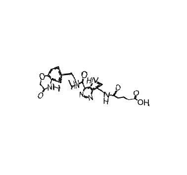 O=C(O)CCCC(=O)Nc1c[nH]c2c(C(=O)NCc3ccc4c(c3)NC(=O)CO4)ncnc12